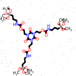 CO[Si](CCCNC(=O)OCCn1c(=O)n(CCOC(=O)NCCC[Si](OC)(OC)OC)c(=O)n(CCOC(=O)NCCC[Si](OC)(OC)OC)c1=O)(OC)OC